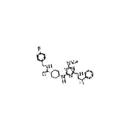 CNc1nc(NC[C@H](C)c2ccccc2)nc(N[C@H]2CC[C@@H](C(=O)NCc3ccc(F)cc3)CC2)n1